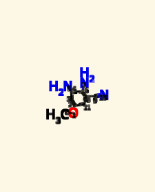 COc1cc(N)c(N)c(C#N)c1